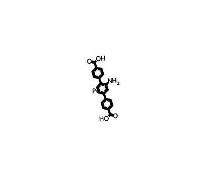 Nc1cc(-c2ccc(C(=O)O)cc2)ccc1-c1ccc(C(=O)O)cc1.[Pd]